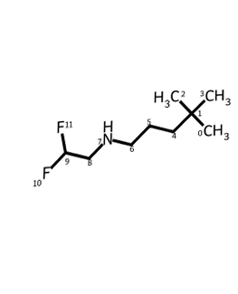 CC(C)(C)CCCNCC(F)F